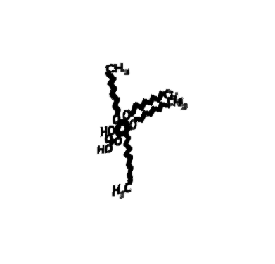 CCCCCCCCCCc1c(OC(=O)O)c(O)c(OCCCCCCCCC)c(OCCCCCCCCC)c1OCCCCCCCCC